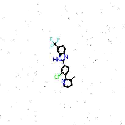 Cc1cccnc1-c1ccc(-c2nc3ccc(C(F)(F)F)cc3[nH]2)cc1Cl